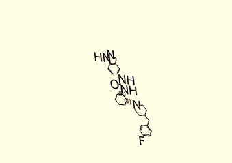 O=C(Nc1ccc2[nH]ncc2c1)N[C@@H]1CCCC[C@H]1CN1CCC(Cc2ccc(F)cc2)CC1